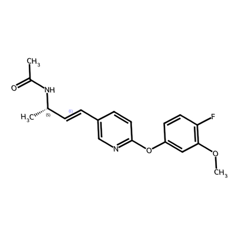 COc1cc(Oc2ccc(/C=C/[C@H](C)NC(C)=O)cn2)ccc1F